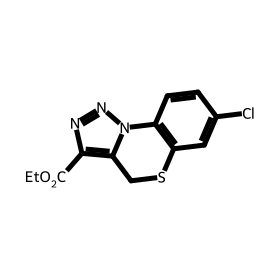 CCOC(=O)c1nnn2c1CSc1cc(Cl)ccc1-2